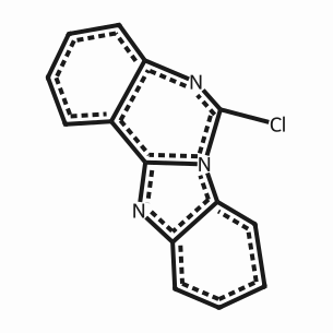 Clc1nc2ccccc2c2nc3ccccc3n12